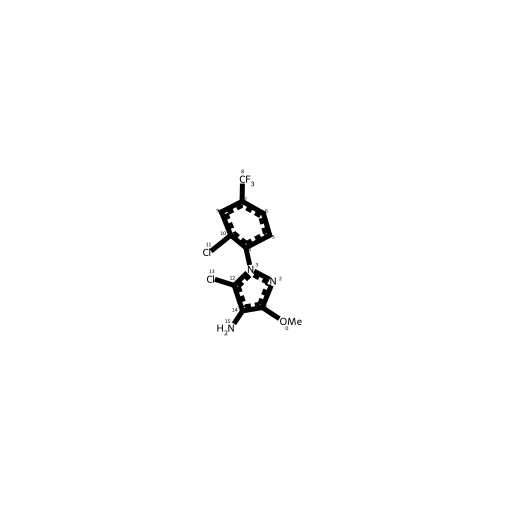 COc1nn(-c2ccc(C(F)(F)F)cc2Cl)c(Cl)c1N